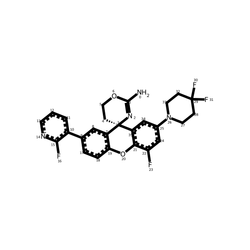 NC1=N[C@]2(CCO1)c1cc(-c3cccnc3F)ccc1Oc1c(F)cc(N3CCC(F)(F)CC3)cc12